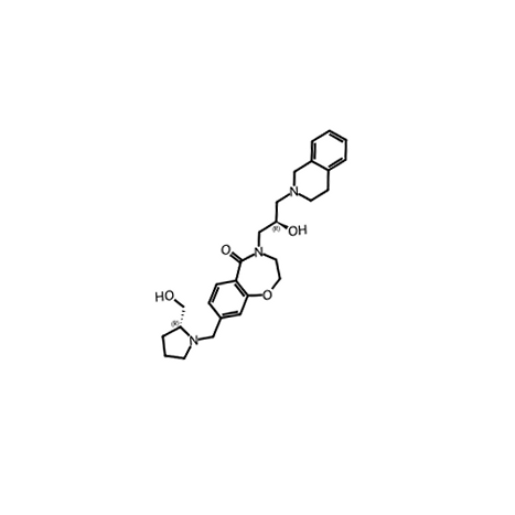 O=C1c2ccc(CN3CCC[C@@H]3CO)cc2OCCN1C[C@H](O)CN1CCc2ccccc2C1